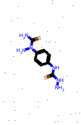 NNC(=S)Nc1ccc(N(N)C(N)=S)cc1